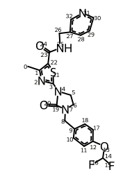 Cc1nc(N2CCN(Cc3ccc(OC(F)F)cc3)C2=O)sc1C(=O)NCc1cccnc1